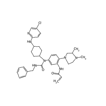 C=CC(=O)Nc1cc(N(C(=O)NCc2ccccc2)C2CCC(Nc3ccc(Cl)cn3)CC2)ccc1N1CCN(C)C(C)C1